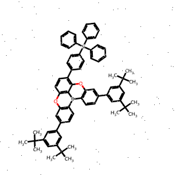 CC(C)(C)c1cc(-c2ccc3c(c2)Oc2ccc(-c4ccc([Si](c5ccccc5)(c5ccccc5)c5ccccc5)cc4)c4c2B3c2ccc(-c3cc(C(C)(C)C)cc(C(C)(C)C)c3)cc2O4)cc(C(C)(C)C)c1